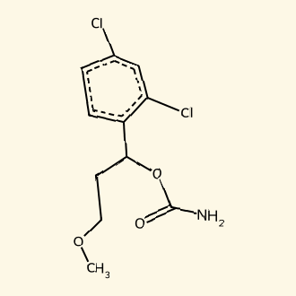 COCCC(OC(N)=O)c1ccc(Cl)cc1Cl